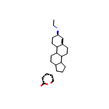 CC/N=C1/C=C2CCC3C(CC[C@]4(C)[C@@H](c5ccc(=O)oc5)CC[C@]34O)[C@@]2(C)CC1